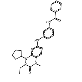 CCN1C(=O)N(C)c2cnc(Nc3cccc(NC(=O)c4ccccc4)c3)nc2N1C1CCCC1